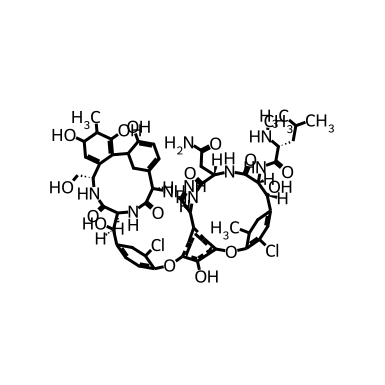 CN[C@H](CC(C)C)C(=O)N[C@H]1C(=O)N[C@@H](CC(N)=O)C(=O)N[C@H]2C(=N)N[C@H]3C(=O)N[C@H](C(=O)N[C@H](CO)C4=CC(O)C(C)C(O)=C4C4CC3=CC=C4O)[C@H](O)C3=CC=C(Oc4cc2cc(c4O)OC2=C(Cl)C=C(CC2C)[C@H]1O)C(Cl)C3